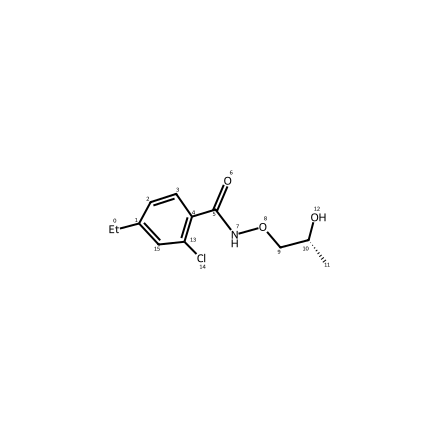 CCc1ccc(C(=O)NOC[C@@H](C)O)c(Cl)c1